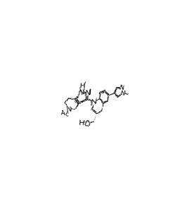 CC(=O)N1CCc2[nH]nc(N3C[C@@H](CO)Cc4cc(-c5cnn(C)c5)ccc43)c2C1